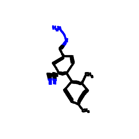 C#N.C#N.Cc1ccc(-c2ccc(C=NN)cc2)c(C)c1